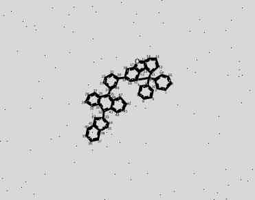 c1ccc(C2(c3ccccc3)c3cccc4oc5cc(-c6cccc(-c7c8ccccc8c(-c8ccc9ccccc9c8)c8ccccc78)c6)cc2c5c34)cc1